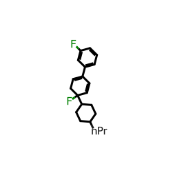 CCCC1CCC(C2(F)C=CC(c3cccc(F)c3)=CC2)CC1